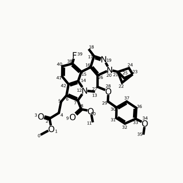 COC(=O)CCc1c(C(=O)OC)n(C)c2c(-c3c(C)nn(C45CC(C4)C5)c3COCc3ccc(OC)cc3)c(F)ccc12